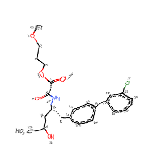 CCOCCCOC(=O)C(=O)N[C@H](Cc1ccc(-c2cccc(Cl)c2)cc1)CC(O)C(=O)O